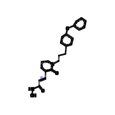 O=C(/C=C/c1cccn(CCCc2ccc(Oc3ccccc3)cc2)c1=O)NO